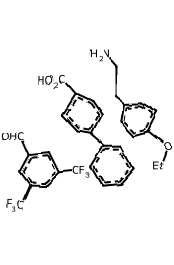 CCOc1ccc(CCN)cc1.O=C(O)c1ccc(-c2ccccc2)cc1.O=Cc1cc(C(F)(F)F)cc(C(F)(F)F)c1